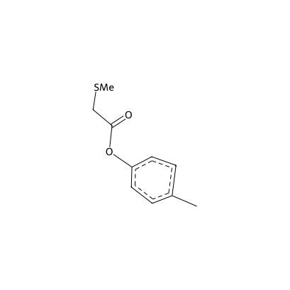 CSCC(=O)Oc1ccc(C)cc1